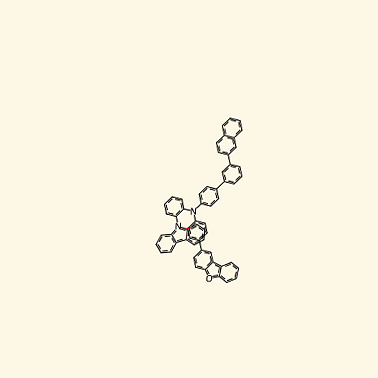 c1cc(-c2ccc(N(c3ccc(-c4ccc5oc6ccccc6c5c4)cc3)c3ccccc3-n3c4ccccc4c4ccccc43)cc2)cc(-c2ccc3ccccc3c2)c1